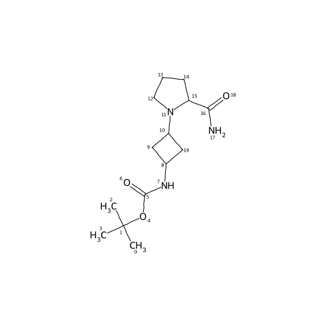 CC(C)(C)OC(=O)NC1CC(N2CCCC2C(N)=O)C1